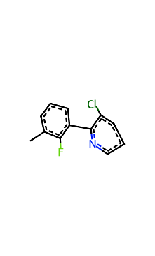 Cc1cccc(-c2ncccc2Cl)c1F